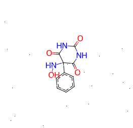 O=C1NC(=O)C(NO)(c2ccccc2)C(=O)N1